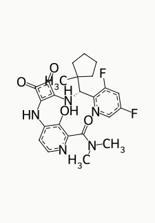 CN(C)C(=O)c1nccc(Nc2c(N[C@@H](c3ncc(F)cc3F)C3(C)CCCC3)c(=O)c2=O)c1O